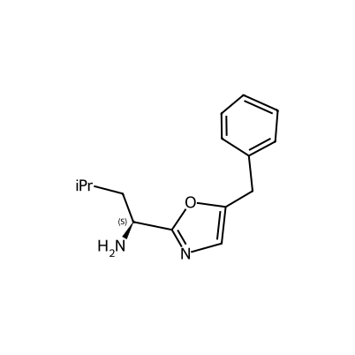 CC(C)C[C@H](N)c1ncc(Cc2ccccc2)o1